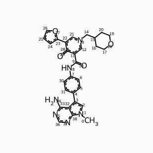 Cn1cc(-c2ccc(NC(=O)c3cn(CC4CCOCC4)cc(-c4ccco4)c3=O)cc2)c2c(N)ncnc21